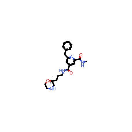 CNC(=O)c1cc(C(=O)NCCC[C@@]2(C)CNCCO2)cc(Cc2ccccc2)n1